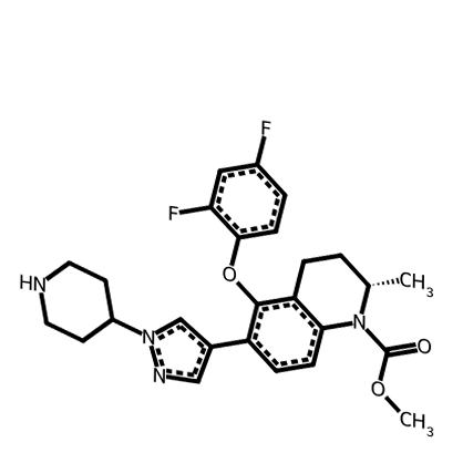 COC(=O)N1c2ccc(-c3cnn(C4CCNCC4)c3)c(Oc3ccc(F)cc3F)c2CC[C@@H]1C